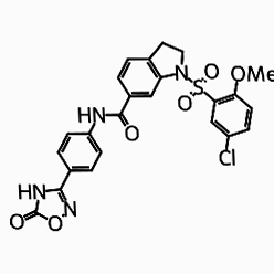 COc1ccc(Cl)cc1S(=O)(=O)N1CCc2ccc(C(=O)Nc3ccc(-c4noc(=O)[nH]4)cc3)cc21